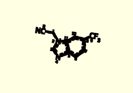 N#CCn1cnc2ccc(C(F)(F)F)cc21